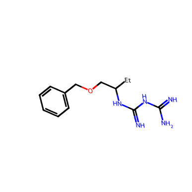 CCC(COCc1ccccc1)NC(=N)NC(=N)N